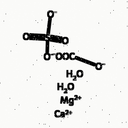 O.O.O=C([O-])[O-].O=S(=O)([O-])[O-].[Ca+2].[Mg+2]